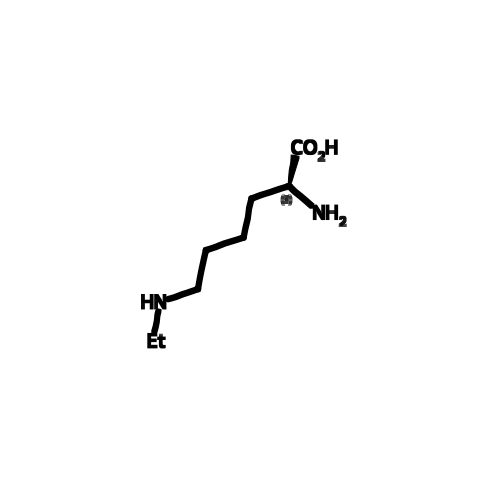 CCNCCCC[C@H](N)C(=O)O